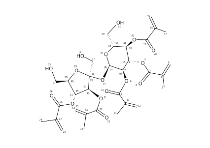 C=C(C)C(=O)O[C@@H]1[C@@H](OC(=O)C(=C)C)[C@@H](O[C@]2(CO)O[C@H](CO)[C@@H](OC(=O)C(=C)C)[C@@H]2OC(=O)C(=C)C)O[C@H](CO)[C@H]1OC(=O)C(=C)C